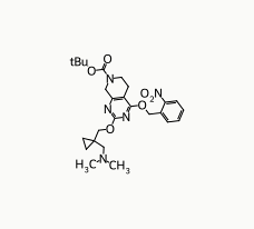 CN(C)CC1(COc2nc3c(c(OCc4ccccc4[N+](=O)[O-])n2)CCN(C(=O)OC(C)(C)C)C3)CC1